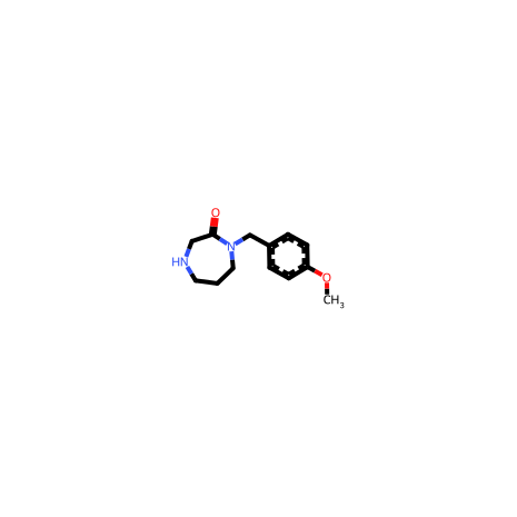 COc1ccc(CN2CCCNCC2=O)cc1